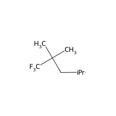 C[C](C)CC(C)(C)C(F)(F)F